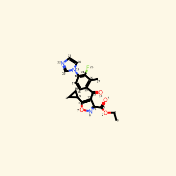 CCOC(=O)c1noc(C2CC2)c1C(=O)c1ccc(-n2ccnc2)c(F)c1C